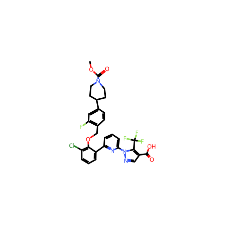 COC(=O)N1CCC(c2ccc(COc3c(Cl)cccc3-c3cccc(-n4ncc(C(=O)O)c4C(F)(F)F)n3)c(F)c2)CC1